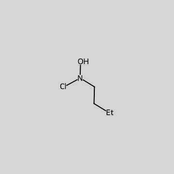 CCCCN(O)Cl